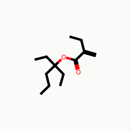 C=C(CC)C(=O)OC(CC)(CC)CCC